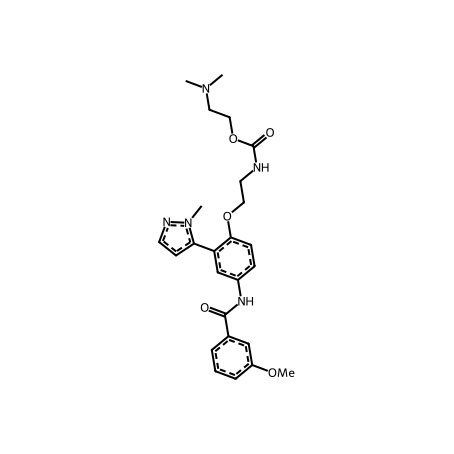 COc1cccc(C(=O)Nc2ccc(OCCNC(=O)OCCN(C)C)c(-c3ccnn3C)c2)c1